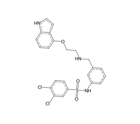 O=S(=O)(Nc1cccc(CNCCOc2cccc3[nH]ccc23)c1)c1ccc(Cl)c(Cl)c1